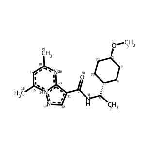 CO[C@H]1CC[C@H](C(C)NC(=O)c2cnn3c(C)cc(C)nc23)CC1